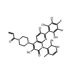 C=CC(=O)N1CCN(c2c(C#N)c(=O)n(C3=C(C)C=CNC3C(C)C)c3nc(-c4c(O)c(F)c(F)c(Cl)c4Cl)c(Cl)cc23)CC1